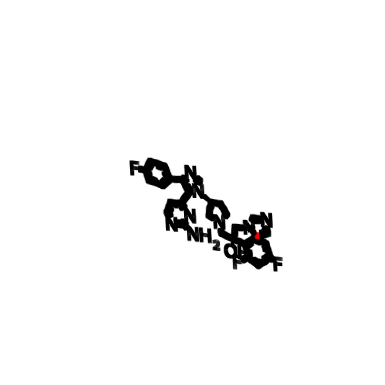 Nc1nccc(-c2c(-c3ccc(F)cc3)ncn2[C@H]2CCN(C[C@@](O)(Cn3cncn3)c3ccc(F)cc3F)C2)n1